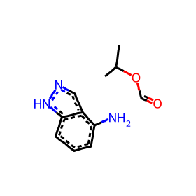 CC(C)OC=O.Nc1cccc2[nH]ncc12